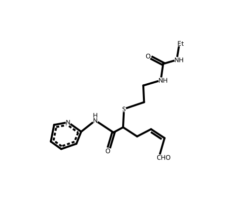 CCNC(=O)NCCSC(C/C=C\C=O)C(=O)Nc1ccccn1